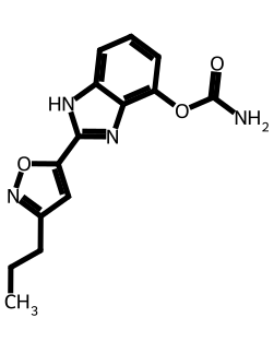 CCCc1cc(-c2nc3c(OC(N)=O)cccc3[nH]2)on1